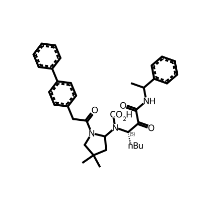 CCCC[C@@H](C(=O)C(=O)NC(C)c1ccccc1)N(C(=O)O)C1CC(C)(C)CN1C(=O)Cc1ccc(-c2ccccc2)cc1